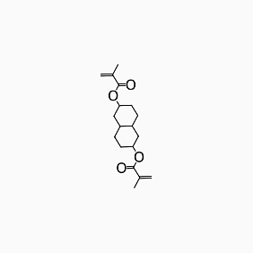 C=C(C)C(=O)OC1CCC2CC(OC(=O)C(=C)C)CCC2C1